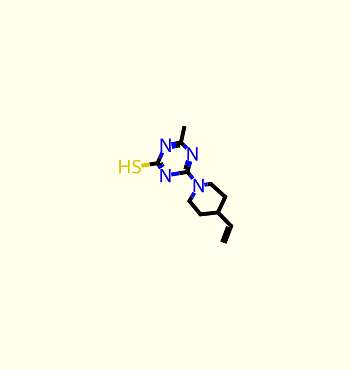 C=CC1CCN(c2nc(C)nc(S)n2)CC1